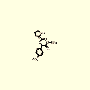 CC(=O)Oc1ccc(C(OC(=O)[C@H]2CCCN2)C(=O)OC(C)(C)C)cc1